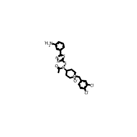 CC(=O)N(Sc1nnc(-c2cccc(N)c2)s1)C1CC[N+]([O-])(Cc2ccc(Cl)c(Cl)c2)CC1